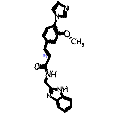 COc1cc(/C=C/C(=O)NCc2nc3ccccc3[nH]2)ccc1-n1ccnc1